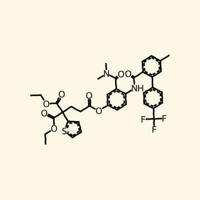 CCOC(=O)C(CCC(=O)Oc1ccc(NC(=O)c2ccc(C)cc2-c2ccc(C(F)(F)F)cc2)c(C(=O)N(C)C)c1)(C(=O)OCC)c1cccs1